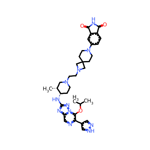 CC(C)Oc1c(-c2cn[nH]c2)ncc2nc(N[C@H]3CCN(CCN4CC5(CCN(c6ccc7c(c6)C(=O)NC7=O)CC5)C4)C[C@H]3C)nn12